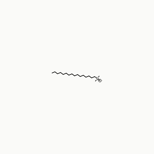 CCCCCCCCCCCCCCCC[Si](C)(C)[O]